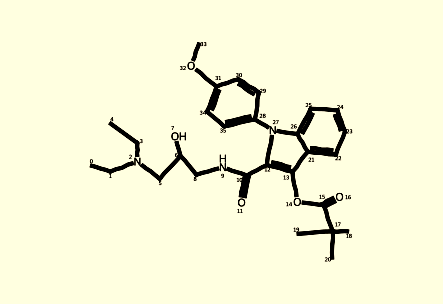 CCN(CC)CC(O)CNC(=O)c1c(OC(=O)C(C)(C)C)c2ccccc2n1-c1ccc(OC)cc1